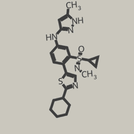 CN=S(=O)(c1cc(Nc2cc(C)[nH]n2)ccc1-c1cnc(C2CCCCC2)s1)C1CC1